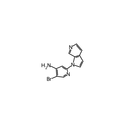 Nc1cc(-n2ccc3ccncc32)ncc1Br